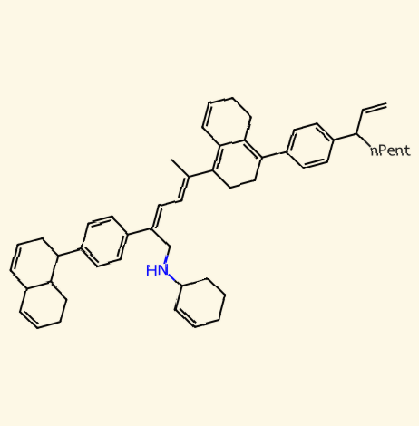 C=CC(CCCCC)c1ccc(C2=C3CCC=CC3=C(/C(C)=C/C=C(\CNC3C=CCCC3)c3ccc(C4CC=CC5C=CCCC54)cc3)CC2)cc1